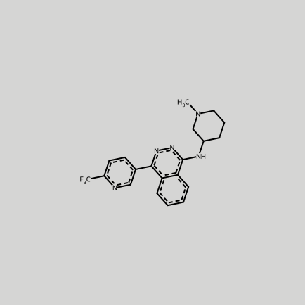 CN1CCCC(Nc2nnc(-c3ccc(C(F)(F)F)nc3)c3ccccc23)C1